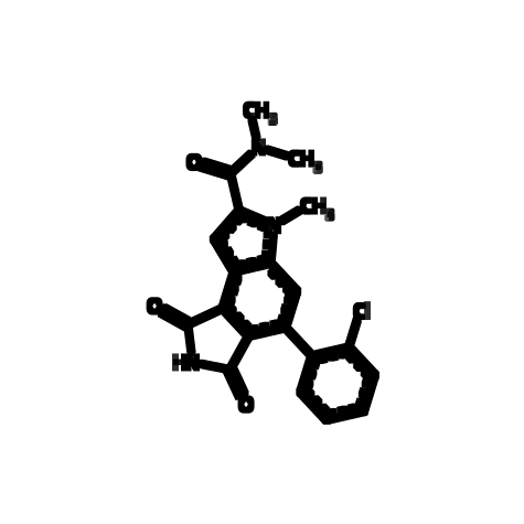 CN(C)C(=O)c1cc2c3c(c(-c4ccccc4Cl)cc2n1C)C(=O)NC3=O